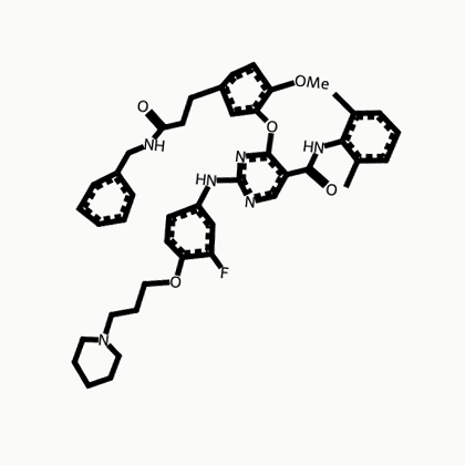 COc1ccc(CCC(=O)NCc2ccccc2)cc1Oc1nc(Nc2ccc(OCCCN3CCCCC3)c(F)c2)ncc1C(=O)Nc1c(C)cccc1C